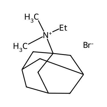 CC[N+](C)(C)C12CC3CC(CC(C3)C1)C2.[Br-]